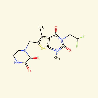 Cc1c(CN2CCNC(=O)C2=O)sc2c1c(=O)n(CC(F)F)c(=O)n2C